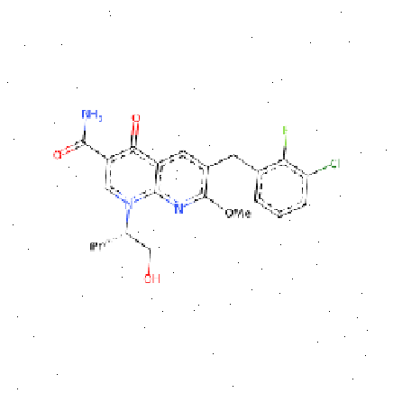 COc1nc2c(cc1Cc1cccc(Cl)c1F)c(=O)c(C(N)=O)cn2[C@H](CO)C(C)C